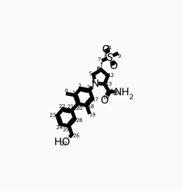 Cc1cc(N2C[C@H](CS(C)(=O)=O)CC2C(N)=O)cc(C)c1-c1cccc(CO)c1